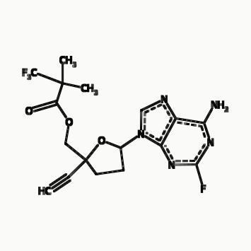 C#CC1(COC(=O)C(C)(C)C(F)(F)F)CCC(n2cnc3c(N)nc(F)nc32)O1